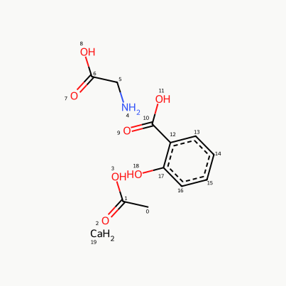 CC(=O)O.NCC(=O)O.O=C(O)c1ccccc1O.[CaH2]